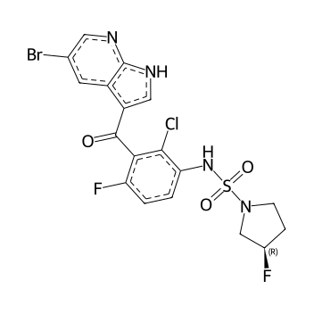 O=C(c1c(F)ccc(NS(=O)(=O)N2CC[C@@H](F)C2)c1Cl)c1c[nH]c2ncc(Br)cc12